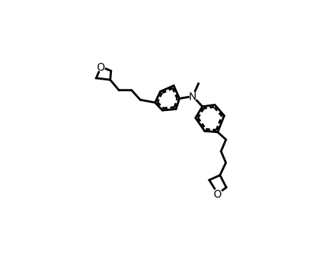 CN(c1ccc(CCCC2COC2)cc1)c1ccc(CCCC2COC2)cc1